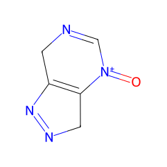 O=[N+]1C=NCC2=C1CN=N2